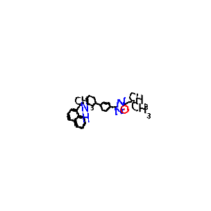 CC(C)c1nc(-c2ccc(C3CCCC(NC(C)c4cccc5ccccc45)C3)cc2)no1